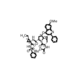 C=C[C@@H]1C[C@]1(NC(=O)[C@@H]1C[C@@H](Oc2cc(-c3ccccc3)nc3cc(OC)ccc23)CN1C(=O)[C@H](CC1CO1)NC(=O)OC(C)(C)C)C(=O)NS(=O)(=O)c1ccccc1